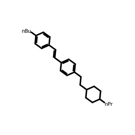 CCCCc1ccc(C=Cc2ccc(CCC3CCC(CCC)CC3)cc2)cc1